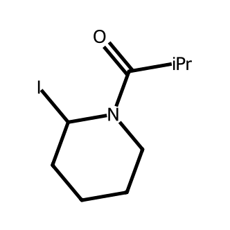 CC(C)C(=O)N1CCCCC1I